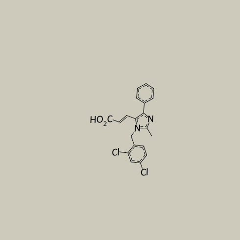 Cc1nc(-c2ccccc2)c(C=CC(=O)O)n1Cc1ccc(Cl)cc1Cl